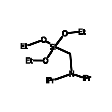 CCO[Si](CN(C(C)C)C(C)C)(OCC)OCC